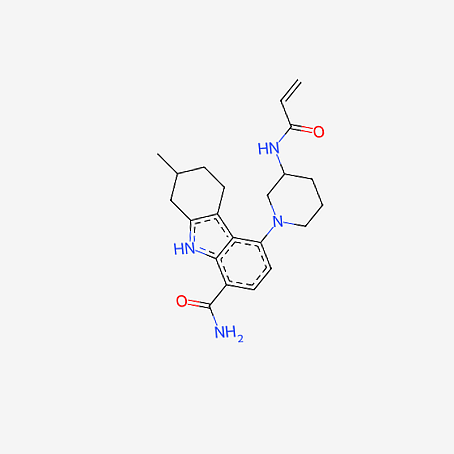 C=CC(=O)NC1CCCN(c2ccc(C(N)=O)c3[nH]c4c(c23)CCC(C)C4)C1